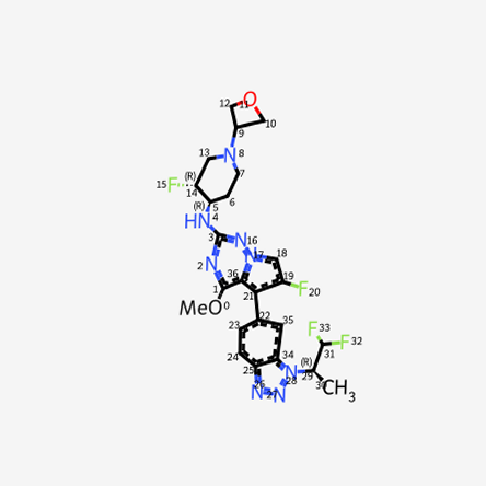 COc1nc(N[C@@H]2CCN(C3COC3)C[C@H]2F)nn2cc(F)c(-c3ccc4nnn([C@H](C)C(F)F)c4c3)c12